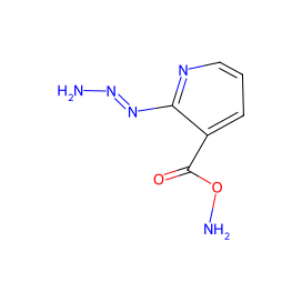 NN=Nc1ncccc1C(=O)ON